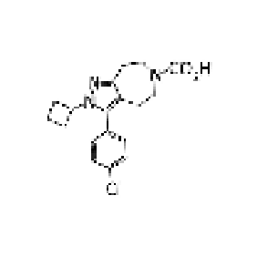 O=C(O)N1CCc2nn(C3CCC3)c(-c3ccc(Cl)cc3)c2CC1